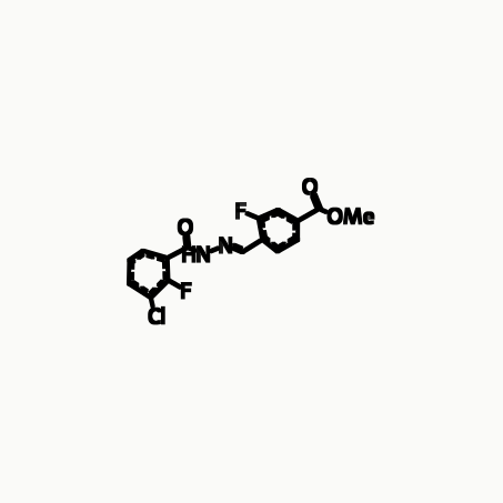 COC(=O)c1ccc(/C=N/NC(=O)c2cccc(Cl)c2F)c(F)c1